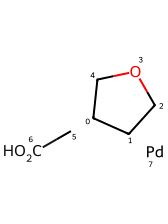 C1CCOC1.CC(=O)O.[Pd]